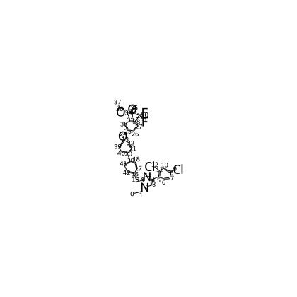 CCn1cc(-c2ccc(Cl)cc2Cl)nc1Cc1ccc(-c2ccc(Oc3ccc(C(F)(F)F)c(C(=O)OC)c3)cc2)cc1